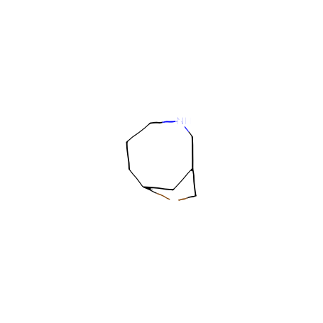 C1CNCC2CSC(C1)C2